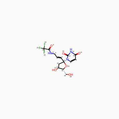 O=C(NCC=C[C@]1(n2ccc(=O)[nH]c2=O)C[C@H](O)[C@@H](CO)O1)C(F)(F)F